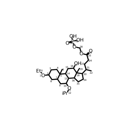 CCOC1CCC2(C)C(C1)CC(OC(C)C)C1C2CC(O)C2(C)C(C(C)CCC(=O)OCOP(=O)(O)O)CCC12